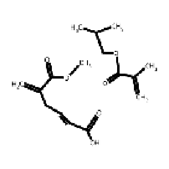 C=C(C)C(=O)OCC(C)C.C=C(CC=CC(=O)O)C(=O)OC